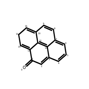 O=C1C=c2cccc3ccc4c(c23)C1=CCC=4